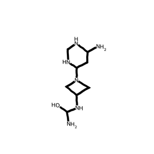 NC(O)NC1CN(C2CC(N)NCN2)C1